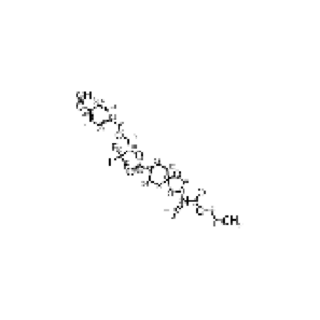 C=CCOC(=O)N(C)[C@H]1COC2(CCN(C(=O)O[C@H](COCc3ccc(OC)cc3)C(F)(F)F)CC2)C1